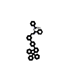 N/C(=N\C(=C/Cc1cccc(-c2ccc(-c3cccc4c3-c3ccccc3C4(c3ccccc3)c3ccccc3)cc2)c1)C1=CCCC=C1)c1ccccc1